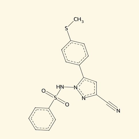 CSc1ccc(-c2cc(C#N)nn2NS(=O)(=O)c2ccccc2)cc1